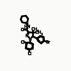 CC1(C)C(C(=O)NN2CCCCC2)=NN(c2ccc(Cl)cc2Cl)C1c1ccc(Br)cc1